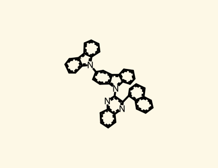 c1ccc2c(-c3nc4ccccc4nc3-n3c4ccccc4c4cc(-n5c6ccccc6c6ccccc65)ccc43)cccc2c1